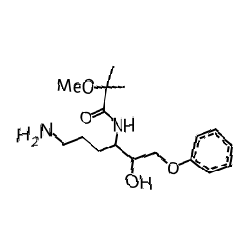 COC(C)(C)C(=O)NC(CCCN)C(O)COc1ccccc1